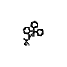 CC(C#N)C=NO[Si](c1ccccc1)(c1ccccc1)c1ccccc1